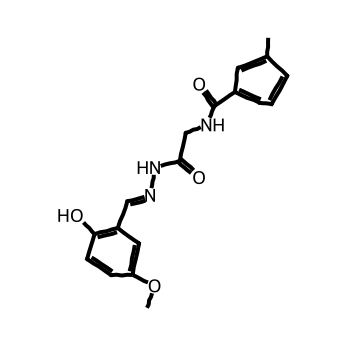 COc1ccc(O)c(C=NNC(=O)CNC(=O)c2cccc(C)c2)c1